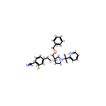 CC(C)(c1ccccn1)N1CC[C@@](CCc2ccc(C#N)c(F)c2)(COCc2ccccc2)C1